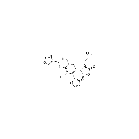 CCCN1C(=O)OC(=O)C1c1cc(C)c(OCc2cocn2)c(O)c1-c1ccco1